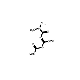 CNC(=O)NC(=NC(=O)N(C)C)SC